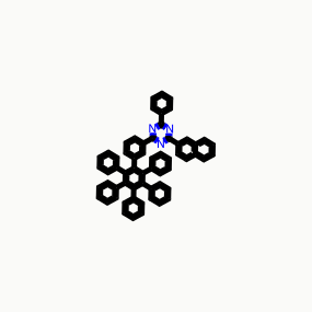 c1ccc(-c2nc(-c3cccc(-c4c(-c5ccccc5)c(-c5ccccc5)c(-c5ccccc5)c(-c5ccccc5)c4-c4ccccc4)c3)nc(-c3ccc4ccccc4c3)n2)cc1